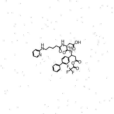 O=C(O)C[C@H](NC(=O)CCCCNc1ccccn1)C(=O)NC(CC(=O)OC(=O)C(F)(F)F)c1ccc(-c2ccccc2)cc1